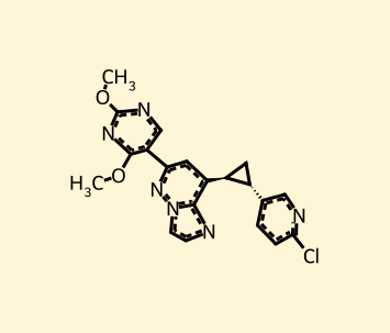 COc1ncc(-c2cc([C@H]3C[C@@H]3c3ccc(Cl)nc3)c3nccn3n2)c(OC)n1